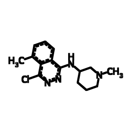 Cc1cccc2c(NC3CCCN(C)C3)nnc(Cl)c12